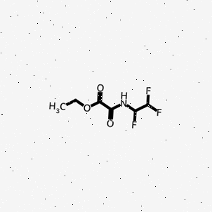 CCOC(=O)C(=O)NC(F)C(F)F